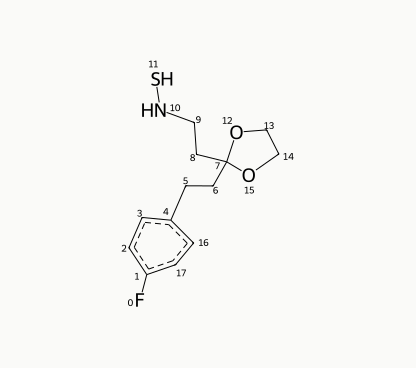 Fc1ccc(CCC2(CCNS)OCCO2)cc1